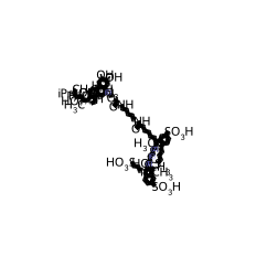 CC(C)[C@H](C)[C@@H](O)[C@H](O)[C@@H](C)[C@H]1CC[C@H]2[C@@H]3C/C(=N\OCC(=O)NCCCCCNC(=O)CCCCCC4(C)/C(=C/C=C/C=C/C5=[N+](CCCS(=O)(=O)O)c6ccc(S(=O)(=O)O)cc6C5(C)C)N(CCCS(=O)(=O)O)c5ccc(S(=O)(=O)O)cc54)[C@H]4C[C@H](O)[C@H](O)C[C@]4(C)[C@H]3CC[C@]12C